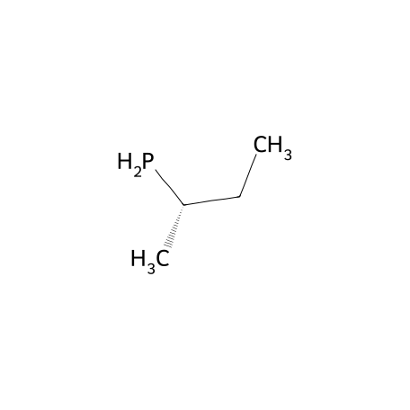 CC[C@H](C)P